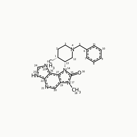 C[C@@H]1CCN(Cc2ccccc2)C[C@@H]1n1c(=O)n(C)c2cnc3[nH]cnc3c21